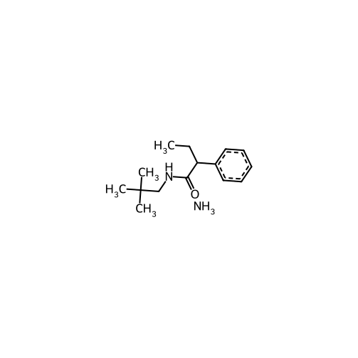 CCC(C(=O)NCC(C)(C)C)c1ccccc1.N